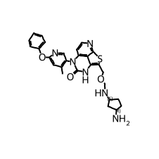 Cc1cc(Oc2ccccc2)ncc1N1C(=O)Nc2c(COCN[C@H]3CC[C@@H](N)C3)sc3nccc1c23